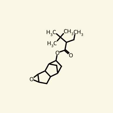 CCC(C(=O)OC1CC2CC1C1C2CC2OC21)C(C)(C)C